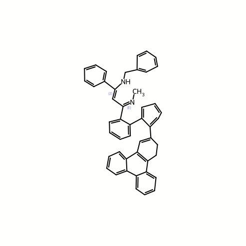 C/N=C(\C=C(/NCc1ccccc1)c1ccccc1)c1ccccc1-c1ccccc1C1=Cc2c(c3ccccc3c3ccccc23)CC1